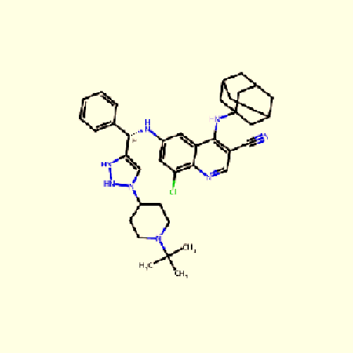 CC(C)(C)N1CCC(N2C=C([C@@H](Nc3cc(Cl)c4ncc(C#N)c(NC56CC7CC(CC(C7)C5)C6)c4c3)c3ccccc3)NN2)CC1